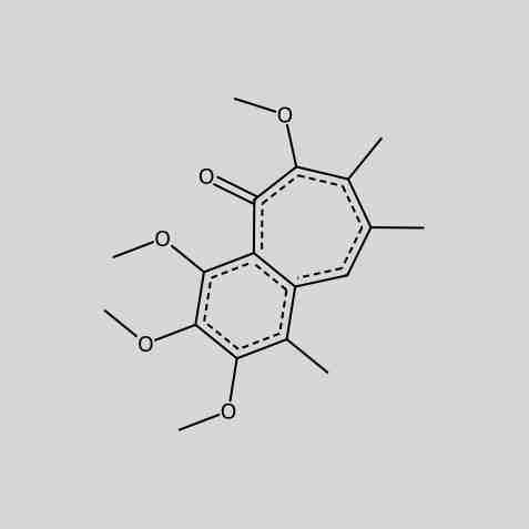 COc1c(OC)c(OC)c2c(=O)c(OC)c(C)c(C)cc2c1C